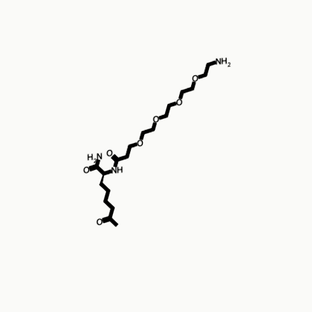 CC(=O)CCCC[C@H](NC(=O)CCOCCOCCOCCOCCN)C(N)=O